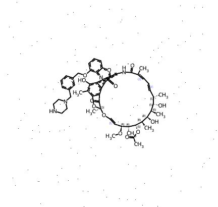 CO[C@H]1/C=C/O[C@@]2(C)Oc3c(C)c(O)c4c(=O)c(c5oc6cccc(OCc7cccc(CN8CCNCC8)c7)c6nc-5c4c3C2=O)NC(=O)/C(C)=C\C=C\[C@H](C)[C@H](O)[C@@H](C)[C@@H](O)[C@@H](C)[C@H](OC(C)=O)[C@@H]1C